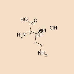 Cl.Cl.NCC[C@H](O)[C@H](N)C(=O)O